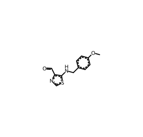 COc1ccc(CNc2scnc2C=O)cc1